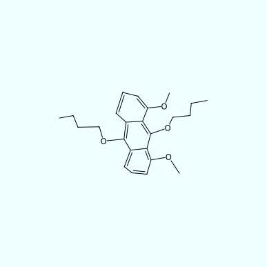 CCCCOc1c2cccc(OC)c2c(OCCCC)c2c(OC)cccc12